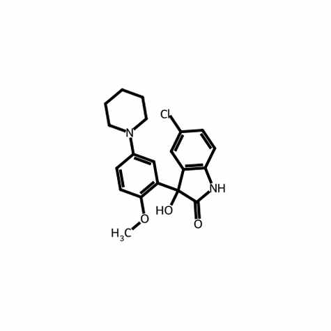 COc1ccc(N2CCCCC2)cc1C1(O)C(=O)Nc2ccc(Cl)cc21